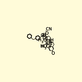 C[C@]12C=CC(=O)C=C1CC[C@H]1[C@@H]3CC[C@@](OC(=O)c4ccc(Cc5ccccc5)cc4)(C(=O)OCC#N)[C@@]3(C)C[C@H](O)C12F